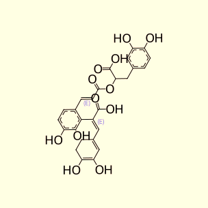 O=C(/C=C/c1ccc(O)c(O)c1/C(=C\C1=CC(O)=C(O)CC1)C(=O)O)OC(Cc1ccc(O)c(O)c1)C(=O)O